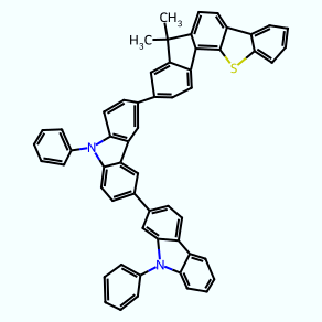 CC1(C)c2cc(-c3ccc4c(c3)c3cc(-c5ccc6c7ccccc7n(-c7ccccc7)c6c5)ccc3n4-c3ccccc3)ccc2-c2c1ccc1c2sc2ccccc21